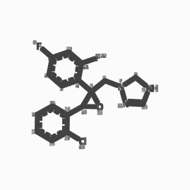 Fc1ccc(C2(CN3CNC=N3)OC2c2ccccc2Cl)c(F)c1